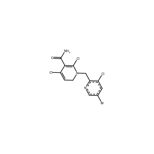 NC(=O)C1=C(Cl)N(Cc2ncc(Br)cc2Cl)CC=C1Cl